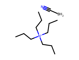 BC#N.CCC[N+](CCC)(CCC)CCC